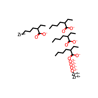 CCCCC(CC)C(=O)[O-].CCCCC(CC)C(=O)[O-].CCCCC(CC)C(=O)[O-].CCCCC(CC)C(=O)[O-].[O-2].[O-2].[O-2].[O-2].[Zr+4].[Zr+4].[Zr+4]